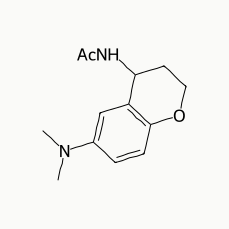 CC(=O)NC1CCOc2ccc(N(C)C)cc21